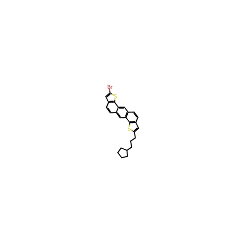 Brc1cc2ccc3cc4c(ccc5cc(CCCC6CCCC6)sc54)cc3c2s1